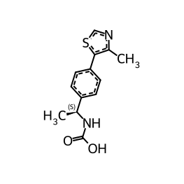 Cc1ncsc1-c1ccc([C@H](C)NC(=O)O)cc1